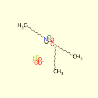 CCCCCCCCCCCCC(CCCCCCCCCC)COC(=O)c1ccc[n+](CCCCCCCCCCCC)c1Cl.O=S(=O)([O-])C(F)(F)F